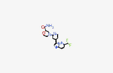 NC(=O)C1CN(c2cc(-c3cnc4ccc(C(F)F)nn34)ccn2)CCO1